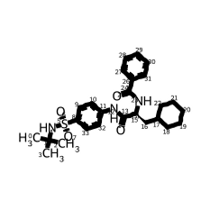 CC(C)(C)NS(=O)(=O)c1ccc(NC(=O)[C@H](CC2CCCCC2)NC(=O)c2ccccc2)cc1